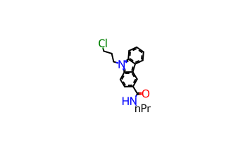 CCCNC(=O)c1ccc2c(c1)c1ccccc1n2CCCCl